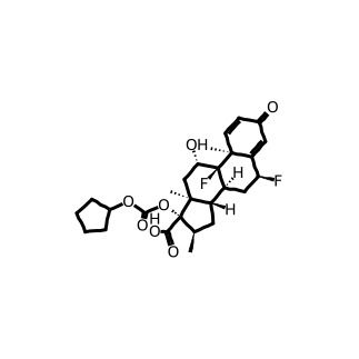 C[C@@H]1C[C@H]2[C@@H]3C[C@H](F)C4=CC(=O)C=C[C@]4(C)[C@@]3(F)[C@@H](O)C[C@]2(C)[C@]1(OC(=O)OC1CCCC1)C(=O)O